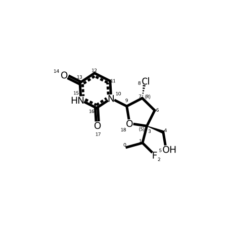 CC(F)[C@@]1(CO)C[C@@H](Cl)C(n2ccc(=O)[nH]c2=O)O1